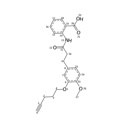 C#CCCCOc1cc(CCC(=O)Nc2ccccc2C(=O)O)ccc1OC